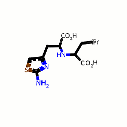 CC(C)CC(NC(Cc1csc(N)n1)C(=O)O)C(=O)O